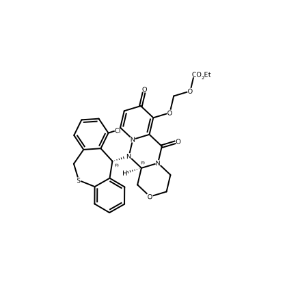 CCOC(=O)OCOc1c2n(ccc1=O)N([C@@H]1c3ccccc3SCc3cccc(Cl)c31)[C@@H]1COCCN1C2=O